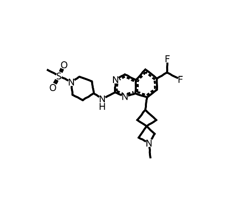 CN1CC2(CC(c3cc(C(F)F)cc4cnc(NC5CCN(S(C)(=O)=O)CC5)nc34)C2)C1